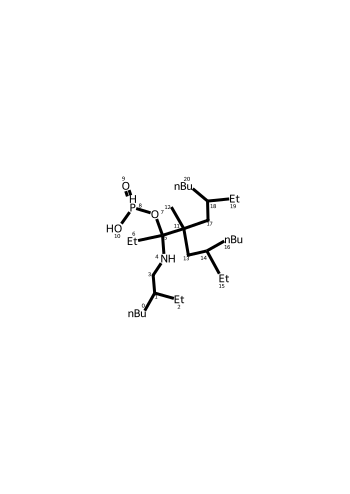 CCCCC(CC)CNC(CC)(O[PH](=O)O)C(C)(CC(CC)CCCC)CC(CC)CCCC